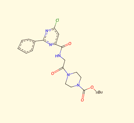 CCCCOC(=O)N1CCN(C(=O)CNC(=O)c2cc(Cl)nc(-c3ccccc3)n2)CC1